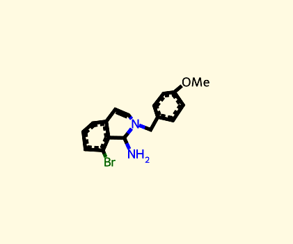 COc1ccc(CN2C=Cc3cccc(Br)c3C2N)cc1